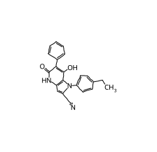 CCc1ccc(-n2c(C#N)cc3[nH]c(=O)c(-c4ccccc4)c(O)c32)cc1